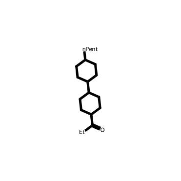 CCCCCC1CCC(C2CCC(C(=O)CC)CC2)CC1